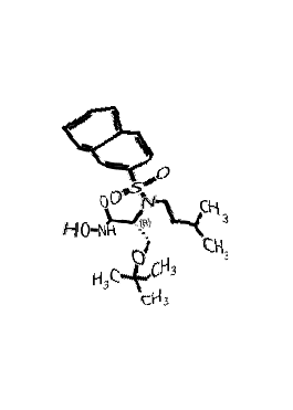 CC(C)CCN([C@H](COC(C)(C)C)C(=O)NO)S(=O)(=O)c1ccc2ccccc2c1